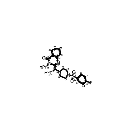 CCCn1c(C(C)N2CCN(S(=O)(=O)c3ccc(F)cc3)CC2)nc2ccccc2c1=O